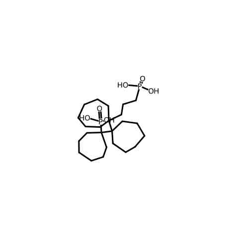 O=P(O)(O)CCCC1(C2(C3(P(=O)(O)O)CCCCCC3)CCCCCC2)CCCCCC1